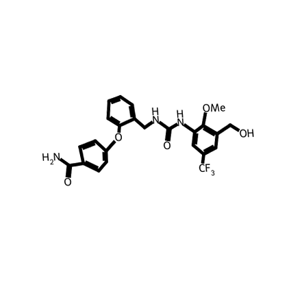 COc1c(CO)cc(C(F)(F)F)cc1NC(=O)NCc1ccccc1Oc1ccc(C(N)=O)cc1